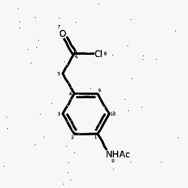 CC(=O)Nc1ccc(CC(=O)Cl)cc1